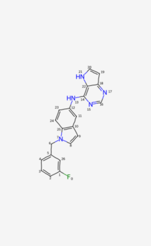 Fc1cccc(Cn2ccc3cc(Nc4ncnc5cc[nH]c45)ccc32)c1